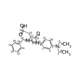 CCN(CC)c1ccc(NC(=O)C(CC(=O)O)NCc2ccccc2)cc1